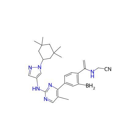 Bc1cc(-c2nc(Nc3cnn(C4CC(C)(C)CC(C)(C)C4)c3)ncc2C)ccc1C(=C)NCC#N